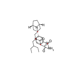 CCC(CC)CN(CCN1[C@@H]2CC[C@H]1C[C@@H](c1cccc(C(N)=O)c1)C2)C(=O)CS(C)(=O)=O